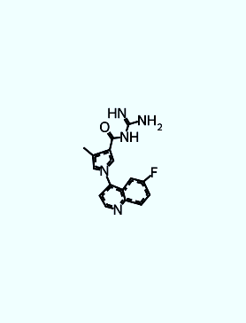 Cc1cn(-c2ccnc3ccc(F)cc23)cc1C(=O)NC(=N)N